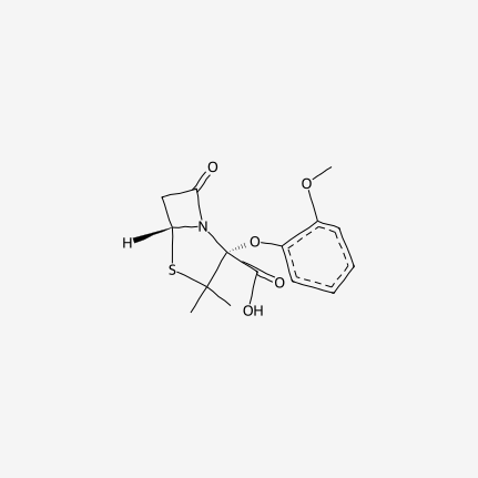 COc1ccccc1O[C@@]1(C(=O)O)N2C(=O)C[C@H]2SC1(C)C